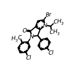 Cc1ccc(Cl)cc1N1C(=O)c2cc(Br)n(C(C)C)c2C1c1ccc(Cl)cc1